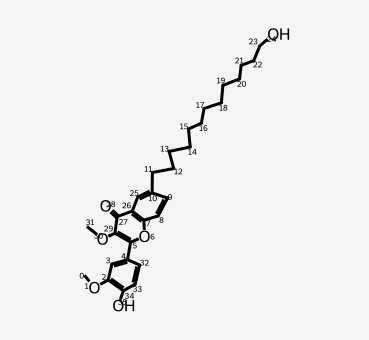 COc1cc(-c2oc3ccc(CCCCCCCCCCCCCO)cc3c(=O)c2OC)ccc1O